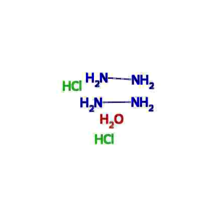 Cl.Cl.NN.NN.O